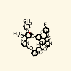 COc1ccccc1-c1nccc(COc2ccccc2CC(Nc2ncnc3sc(-c4ccc(F)cc4)c(-c4c(C)cc(OCCN5CCN(C)CC5)cc4C)c23)C(=O)O)n1